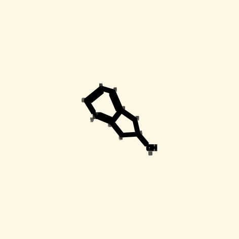 OC1Cc2cccnc2C1